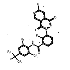 O=C(Nc1c(Br)cc(C(F)(C(F)(F)F)C(F)(F)F)cc1C(F)(F)F)c1cccc(-n2oc(=O)c3cc(F)ncc3c2=O)c1F